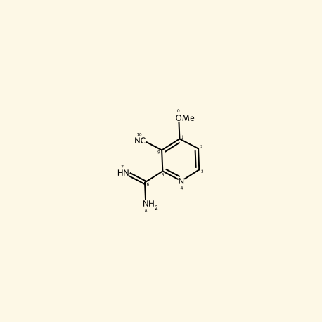 COc1ccnc(C(=N)N)c1C#N